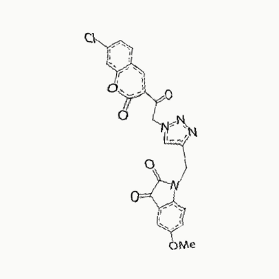 COc1ccc2c(c1)C(=O)C(=O)N2Cc1cn(CC(=O)c2cc3ccc(Cl)cc3oc2=O)nn1